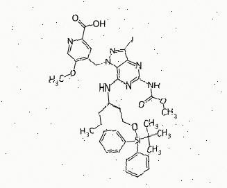 CCCC(CCO[Si](c1ccccc1)(c1ccccc1)C(C)(C)C)Nc1nc(NC(=O)OC)nc2c(I)nn(Cc3cc(C(=O)O)ncc3OC)c12